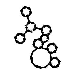 C1=C\Cc2ccccc2-c2ccccc2-c2c(ccc3c2oc2cccc(-c4nc(-c5ccccc5)nc(-c5ccccc5)n4)c23)C\C=C/1